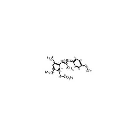 COc1cc(C)c(/N=C(\C)Nc2ccc(OC(C)C)cc2)cc1CC(=O)O